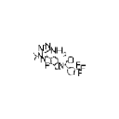 CC(C)n1nc(-c2ccc3c(c2F)CCN3[C@H](C=O)c2cccc(C(F)(F)F)c2)c2c(N)ncnc21